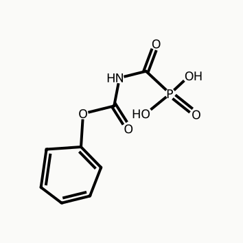 O=C(NC(=O)P(=O)(O)O)Oc1ccccc1